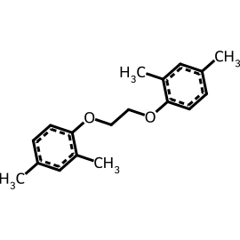 Cc1ccc(OCCOc2ccc(C)cc2C)c(C)c1